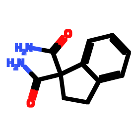 NC(=O)C1(C(N)=O)CCc2ccccc21